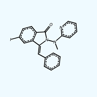 CN(c1ccccn1)N1C(=O)c2ccc(I)cc2/C1=C/c1ccccc1